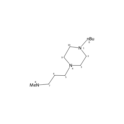 CCCCN1CCN(CCCNC)CC1